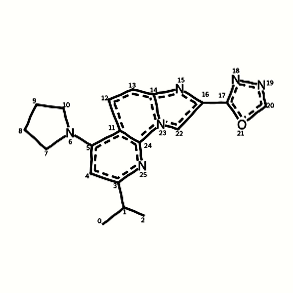 CC(C)c1cc(N2CCCC2)c2ccc3nc(-c4nnco4)cn3c2n1